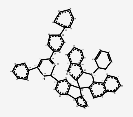 C1=CCC(N2c3c(ccc4ccccc34)C3(c4ccccc4-c4ccc(C5N=C(c6ccc(-c7ccccc7)cc6)C=C(c6ccccc6)N5)cc43)c3ccc4ccccc4c32)C=C1